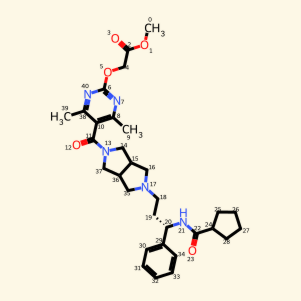 COC(=O)COc1nc(C)c(C(=O)N2CC3CN(CC[C@H](NC(=O)C4CCCC4)c4ccccc4)CC3C2)c(C)n1